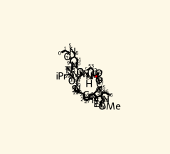 C=CC(=O)N(C)CC1CCN(CN(C)C(C(=O)N[C@H]2Cc3nc(cs3)-c3ccc4c(c3)c(c(-c3cccnc3COC)n4CC)CC(C)(C)COC(=O)[C@@H]3CCCN(N3)C2=O)C(C)C)CC1